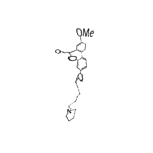 COc1ccc2c(c1)c(=O)oc1cc(OCCCCCN3CCCC3)ccc12